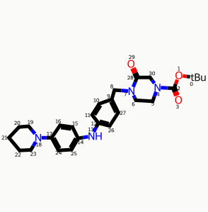 CC(C)(C)OC(=O)N1CCN(Cc2ccc(Nc3ccc(N4CCCCC4)cc3)cc2)C(=O)C1